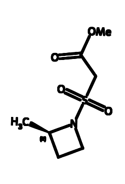 COC(=O)CS(=O)(=O)N1CC[C@H]1C